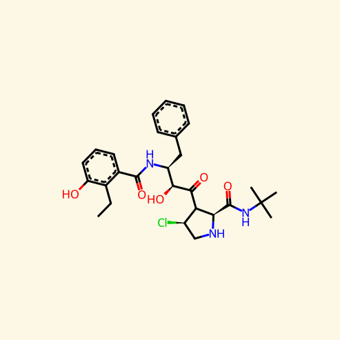 CCc1c(O)cccc1C(=O)N[C@@H](Cc1ccccc1)[C@H](O)C(=O)C1[C@H](Cl)CN[C@@H]1C(=O)NC(C)(C)C